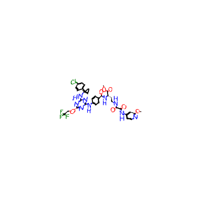 COC(=O)[C@H](CCNC(=O)C(=O)Nc1ccnc(OC)c1)NC(=O)c1ccc(Nc2nc(NC3(c4ccc(Cl)cc4)CC3)nc(OCC(F)(F)F)n2)cc1